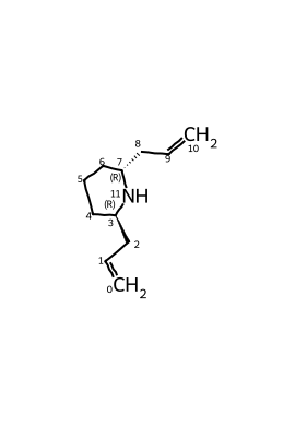 C=CC[C@H]1CCC[C@H](CC=C)N1